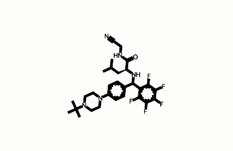 CC(C)C[C@H](NC(c1ccc(N2CCN(C(C)(C)C)CC2)cc1)c1c(F)c(F)c(F)c(F)c1F)C(=O)NCC#N